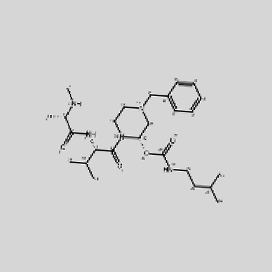 CN[C@@H](C)C(=O)N[C@H](C(=O)N1CCN(Cc2ccccc2)C[C@@H]1OC(=O)NCCC(C)C)C(C)C